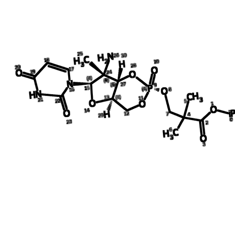 CC(C)OC(=O)C(C)(C)CO[P@]1(=O)OC[C@H]2O[C@@H](n3ccc(=O)[nH]c3=O)[C@](C)(N)[C@@H]2O1